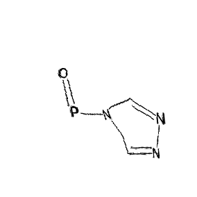 O=Pn1cnnc1